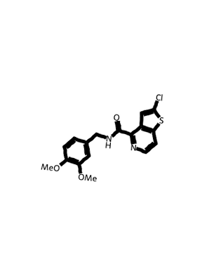 COc1ccc(CNC(=O)c2nccc3sc(Cl)cc23)cc1OC